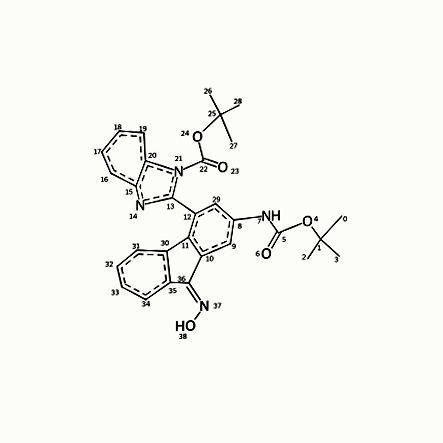 CC(C)(C)OC(=O)Nc1cc2c(c(-c3nc4ccccc4n3C(=O)OC(C)(C)C)c1)-c1ccccc1/C2=N\O